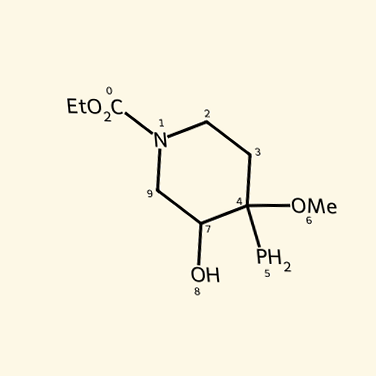 CCOC(=O)N1CCC(P)(OC)C(O)C1